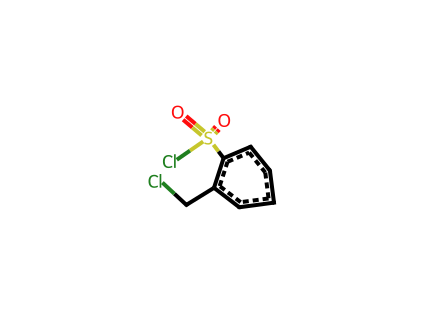 O=S(=O)(Cl)c1ccccc1CCl